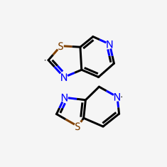 C1=Cc2scnc2C[N]1.[c]1nc2ccncc2s1